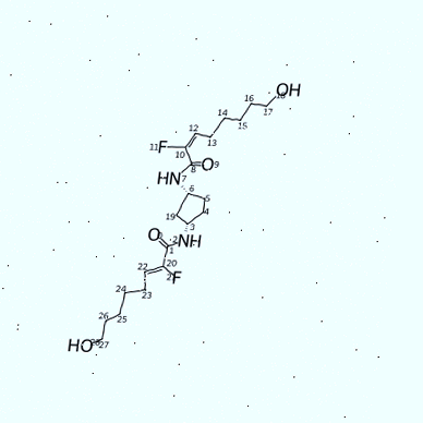 O=C(N[C@H]1CC[C@@H](NC(=O)/C(F)=C\CCCCCO)C1)/C(F)=C/CCCCCO